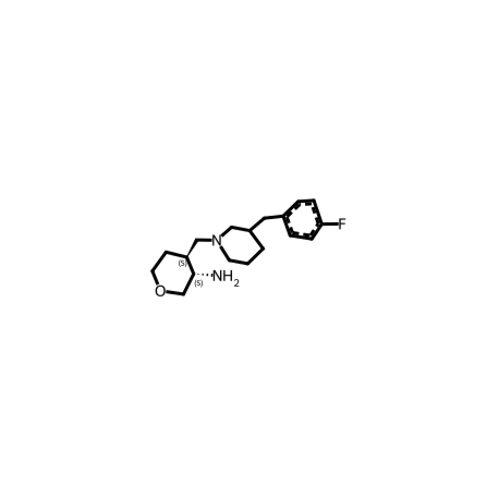 N[C@@H]1COCC[C@H]1CN1CCCC(Cc2ccc(F)cc2)C1